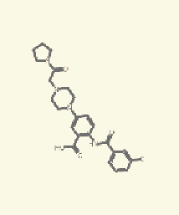 O=C(Nc1ccc(N2CCN(CC(=O)N3CCCC3)CC2)cc1C(=O)O)c1cccc(Cl)c1